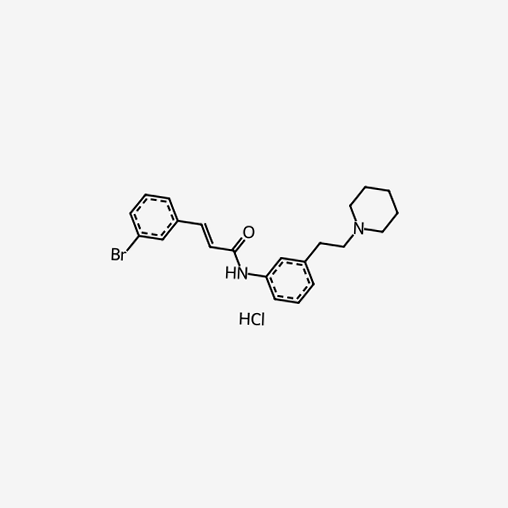 Cl.O=C(C=Cc1cccc(Br)c1)Nc1cccc(CCN2CCCCC2)c1